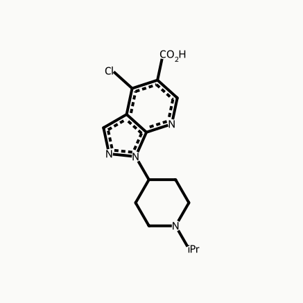 CC(C)N1CCC(n2ncc3c(Cl)c(C(=O)O)cnc32)CC1